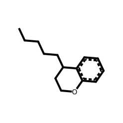 CCCCCC1CCOc2ccccc21